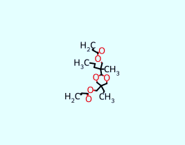 C=CC(=O)OCC1(CC)COC(C(C)(CCC)COC(=O)C=C)OC1